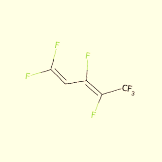 FC(F)=CC(F)=C(F)C(F)(F)F